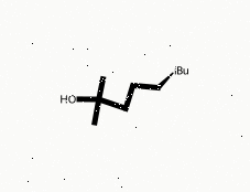 CC[C@H](C)CCCC(C)(C)O